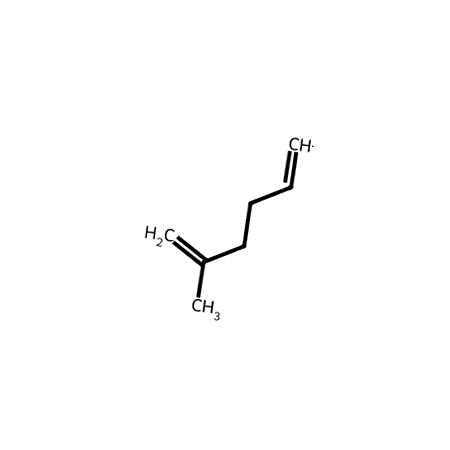 [CH]=CCCC(=C)C